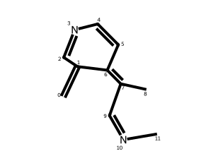 C=c1cncc/c1=C(C)/C=N\C